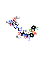 Cc1[nH]c(/C=C2\C(=O)Nc3ccc(S(=O)(=O)Cc4c(Cl)cccc4Cl)cc32)c(C)c1C(=O)NCCN1CCN(C(=O)C(C)(C)NC(=O)OC(C)(C)C)CC1